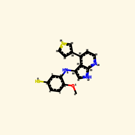 COc1ccc(S)cc1Nc1c[nH]c2nccc(-c3ccsc3)c12